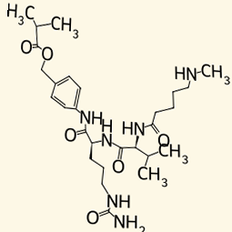 CNCCCCC(=O)N[C@H](C(=O)N[C@@H](CCCNC(N)=O)C(=O)Nc1ccc(COC(=O)C(C)C)cc1)C(C)C